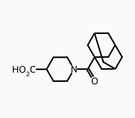 O=C(O)C1CCN(C(=O)C23CC4CC(CC(C4)C2)C3)CC1